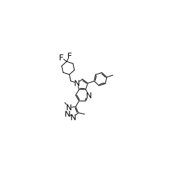 Cc1ccc(-c2cn(CC3CCC(F)(F)CC3)c3cc(-c4c(C)nnn4C)cnc23)cc1